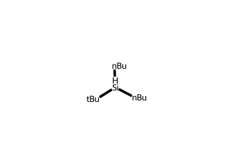 CCCC[SiH](CCCC)C(C)(C)C